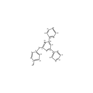 Fc1ccc(Cc2cc(-c3ccccc3)cc(-c3ccccc3)n2)cc1